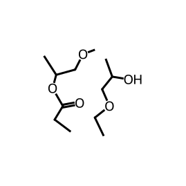 CCC(=O)OC(C)COC.CCOCC(C)O